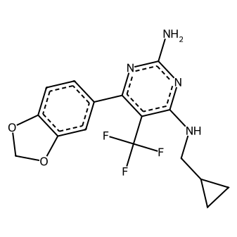 Nc1nc(NCC2CC2)c(C(F)(F)F)c(-c2ccc3c(c2)OCO3)n1